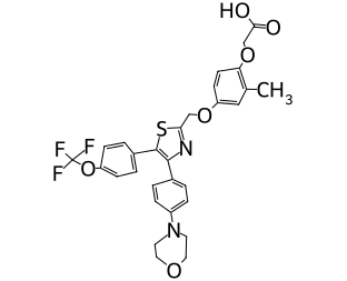 Cc1cc(OCc2nc(-c3ccc(N4CCOCC4)cc3)c(-c3ccc(OC(F)(F)F)cc3)s2)ccc1OCC(=O)O